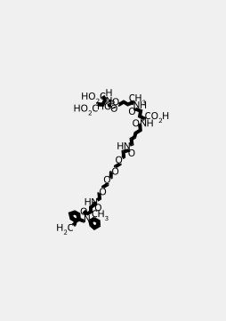 C=Cc1ccccc1CN(C(=O)CCC(=O)NCCOCCOCCOCCOCCC(=O)NCCCCCC(=O)N[C@@H](CCC(=O)N[C@H](C)CCCOP(=O)(O)NC(CCC(=O)O)C(=O)O)C(=O)O)c1ccccc1C